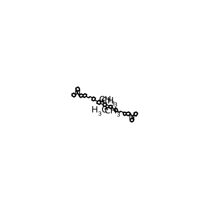 CC1(C)c2cc(-c3ccc(/C=C/c4ccc5cc(N(c6ccccc6)c6ccccc6)ccc5c4)cc3)ccc2-c2cc3c(cc21)-c1ccc(-c2ccc(/C=C/c4ccc5cc(N(c6ccccc6)c6ccccc6)ccc5c4)cc2)cc1C3(C)C